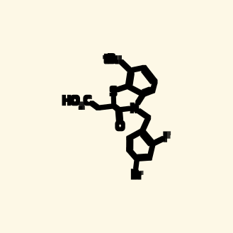 CC(C)(C)c1cccc2c1SC(CC(=O)O)C(=O)N2Cc1ccc(Br)cc1F